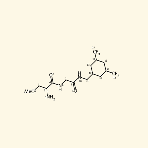 COC[C@@H](N)C(=O)NCC(=O)NCC1CC(C(F)(F)F)CC(C(F)(F)F)C1